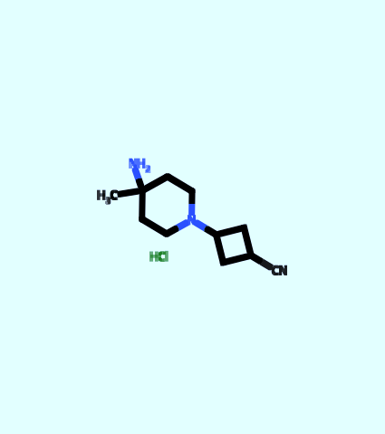 CC1(N)CCN(C2CC(C#N)C2)CC1.Cl